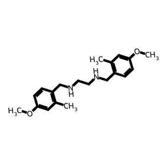 COc1ccc(CNCCNCc2ccc(OC)cc2C)c(C)c1